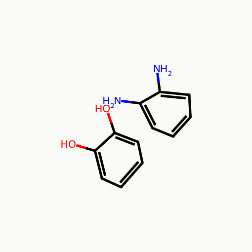 Nc1ccccc1N.Oc1ccccc1O